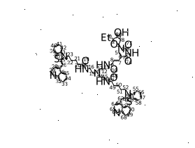 CC[C@H]1O[C@@H](n2cc(/C=C/C(=O)NCCN(CCNC(=O)CCCCN3/C(=C/c4ccnc5ccccc45)Sc4ccccc43)CCNC(=O)CCCCN3c4ccccc4SC3Cc3ccnc4ccccc34)c(=O)[nH]c2=O)C[C@H]1O